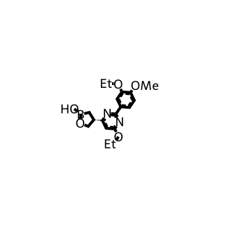 CCOc1cc([C@@H]2COB(O)C2)nc(-c2ccc(OC)c(OCC)c2)n1